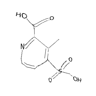 Cc1c(S(=O)(=O)O)ccnc1C(=O)O